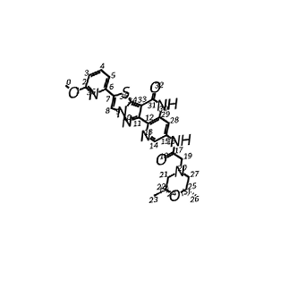 COc1cccc(-c2cn3nc4c5ncc(NC(=O)CN6C[C@H](C)O[C@@H](C)C6)cc5[nH]c(=O)c4c3s2)n1